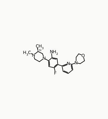 C[C@H]1CN(c2cc(F)c(-c3cccc(N4CCOCC4)n3)cc2N)CCN1C